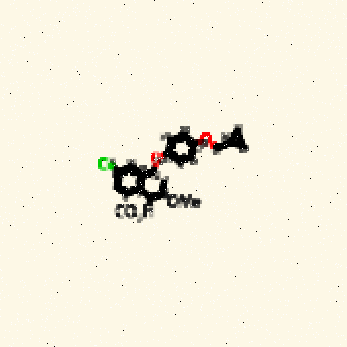 COC(C)=C(C(=O)O)c1ccc(Cl)cc1COc1ccc(OCC2CC2)cc1